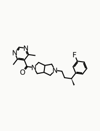 Cc1ncnc(C)c1C(=O)N1CC2CN(CC[C@H](C)c3cccc(F)c3)CC2C1